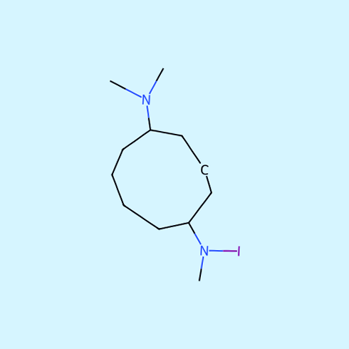 CN(C)C1CCCCC(N(C)I)CCC1